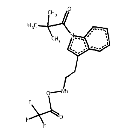 CC(C)(C)C(=O)n1cc(CCNOC(=O)C(F)(F)F)c2ccccc21